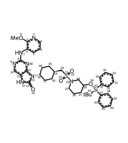 COc1ncccc1Nc1ncc2[nH]c(=O)n([C@H]3CC[C@H](CS(=O)(=O)N4CCCC(O[Si](c5ccccc5)(c5ccccc5)C(C)(C)C)C4)CC3)c2n1